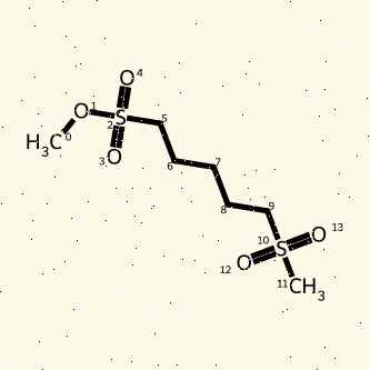 COS(=O)(=O)CCCCCS(C)(=O)=O